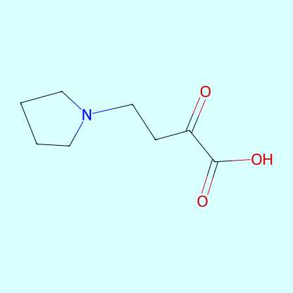 O=C(O)C(=O)CCN1CCCC1